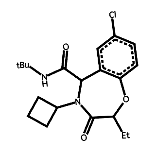 CCC1Oc2ccc(Cl)cc2C(C(=O)NC(C)(C)C)N(C2CCC2)C1=O